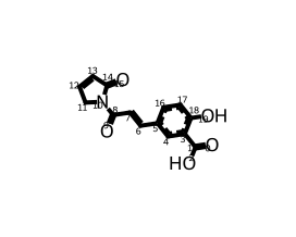 O=C(O)c1cc(/C=C/C(=O)N2CC=CC2=O)ccc1O